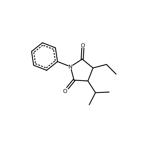 CCC1C(=O)N(c2ccccc2)C(=O)C1C(C)C